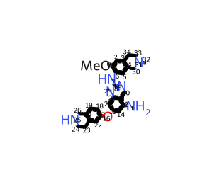 COc1cc2c(cc1Nc1ncc3c(N)cc(Oc4ccc5c(c4)CCNC5)cc3n1)CN(C)CC2